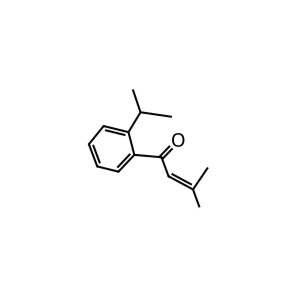 CC(C)=CC(=O)c1ccccc1C(C)C